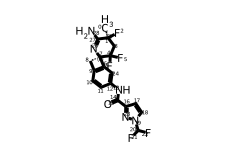 C[C@]1(F)CC(F)(F)[C@]2(Cc3ccc(NC(=O)c4ccn(C(F)F)n4)cc32)N=C1N